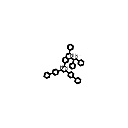 N=C(/C(=C1\NC(c2ccccc2)=Cc2ccc(-c3nc(-c4ccc(-c5ccccc5)cc4)cc(-c4ccc(-c5ccccc5)cc4)n3)cc21)c1ccccc1)c1ccccc1